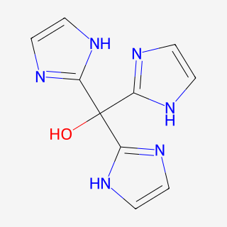 OC(c1ncc[nH]1)(c1ncc[nH]1)c1ncc[nH]1